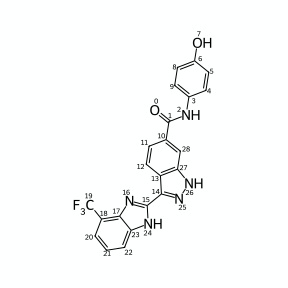 O=C(Nc1ccc(O)cc1)c1ccc2c(-c3nc4c(C(F)(F)F)cccc4[nH]3)n[nH]c2c1